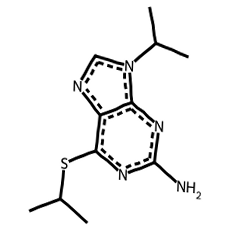 CC(C)Sc1nc(N)nc2c1ncn2C(C)C